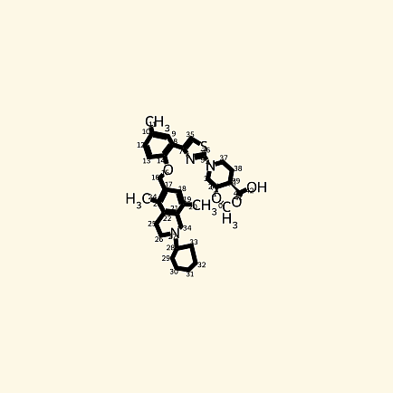 CO[C@H]1CN(c2nc(-c3cc(C)ccc3OCc3cc(C)c4c(c3C)CCN(C3CCCCC3)C4)cs2)CC[C@H]1C(=O)O